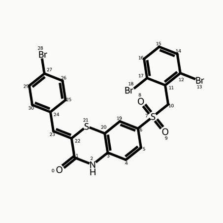 O=C1Nc2ccc(S(=O)(=O)Cc3c(Br)cccc3Br)cc2SC1=Cc1ccc(Br)cc1